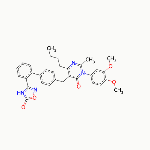 CCCCc1nc(C)n(-c2ccc(OC)c(OC)c2)c(=O)c1Cc1ccc(-c2ccccc2-c2noc(=O)[nH]2)cc1